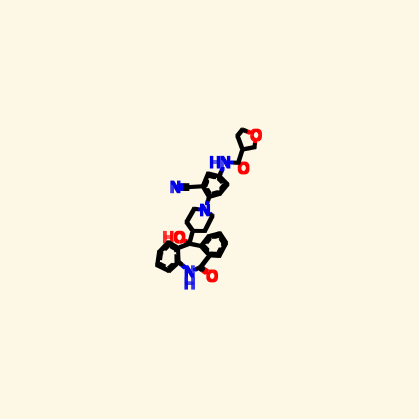 N#Cc1cc(NC(=O)C2CCOC2)ccc1N1CCC(C2(O)c3ccccc3NC(=O)c3ccccc32)CC1